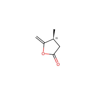 C=C1OC(=O)C[C@@H]1C